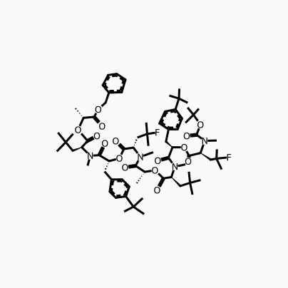 C[C@@H](OC(=O)[C@H](CC(C)(C)C)N(C)C(=O)[C@@H](Cc1ccc(C(C)(C)C)cc1)OC(=O)[C@H](CC(C)(C)F)N(C)C(=O)[C@@H](C)OC(=O)[C@H](CC(C)(C)C)N(C)C(=O)[C@@H](Cc1ccc(C(C)(C)C)cc1)OC(=O)[C@H](CC(C)(C)F)N(C)C(=O)OC(C)(C)C)C(=O)OCc1ccccc1